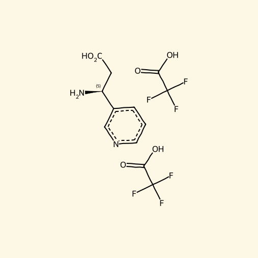 N[C@@H](CC(=O)O)c1cccnc1.O=C(O)C(F)(F)F.O=C(O)C(F)(F)F